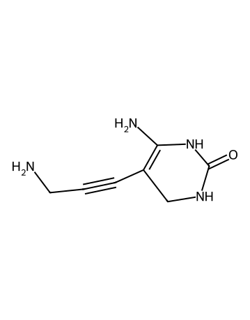 NCC#CC1=C(N)NC(=O)NC1